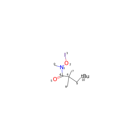 CN(OI)C(=O)C(C)(C)CC(C)(C)C